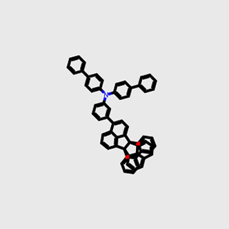 c1ccc(-c2ccc(N(c3ccc(-c4ccccc4)cc3)c3cccc(-c4ccc5c6c(cccc46)C46c7ccccc7-c7ccccc7C54c4cccc5cccc6c45)c3)cc2)cc1